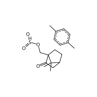 CC1(C)C2CCC1(CO[SH](=O)=O)C(=O)C2.Cc1ccc(C)cc1